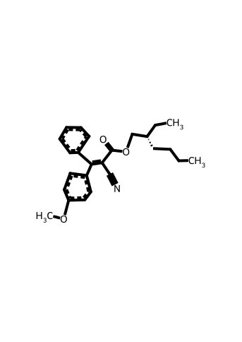 CCCC[C@@H](CC)COC(=O)/C(C#N)=C(\c1ccccc1)c1ccc(OC)cc1